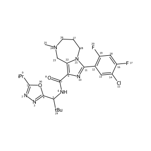 CC(C)c1nnc(C(NC(=O)c2nc(-c3cc(Cl)c(F)cc3F)n3c2CN(C)CCC3)C(C)(C)C)o1